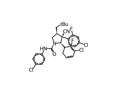 CC(C)(C)C[C@@H]1CN(C(=O)Nc2ccc(Cl)cc2)[C@H](C2CC=CC(Cl)=C2F)[C@@]1(C#N)c1ccc(Cl)cc1F